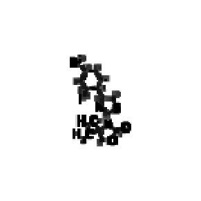 CC1(C)COC(=O)N1c1nc(-c2ccc(Br)cc2F)cs1